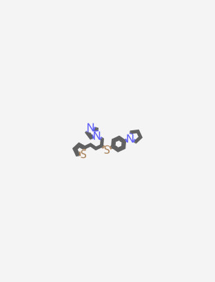 c1csc(CCC(Cn2ccnc2)Sc2ccc(N3CCCC3)cc2)c1